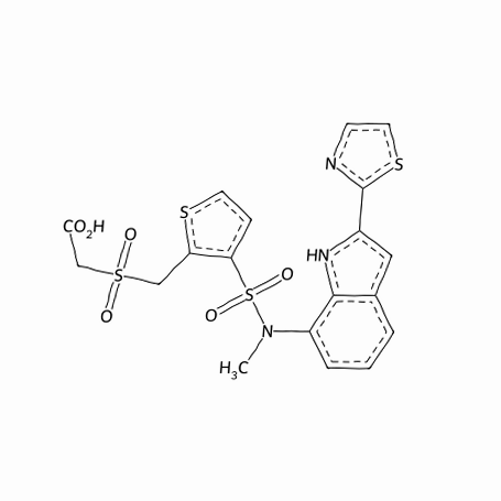 CN(c1cccc2cc(-c3nccs3)[nH]c12)S(=O)(=O)c1ccsc1CS(=O)(=O)CC(=O)O